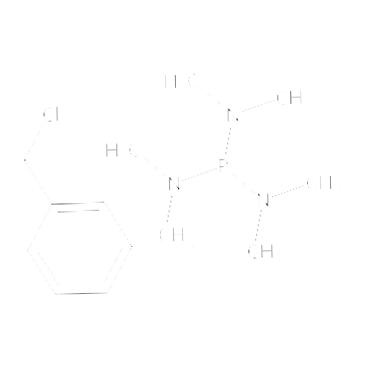 CN(C)P(N(C)C)N(C)C.ClCc1ccccc1